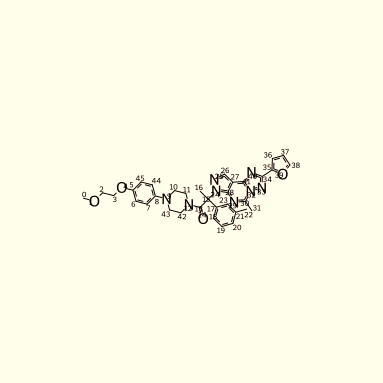 COCCOc1ccc(N2CCN(C(=O)C(C)(c3cccc(C)c3)n3ncc4c3nc(C)n3nc(-c5ccco5)nc43)CC2)cc1